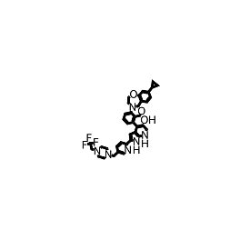 O=C1c2ccc(C3CC3)cc2OCCN1c1cccc(C2=CCNc3[nH]c(-c4ccc(CN5CCN(CC(F)(F)F)CC5)cn4)cc32)c1CO